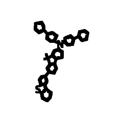 CC1(C)c2cc(-c3ccc4sc5ccccc5c4c3)ccc2-c2ccc(N(c3ccc(-c4ccccc4)cc3)c3ccc(-c4ccccc4)cc3)cc21